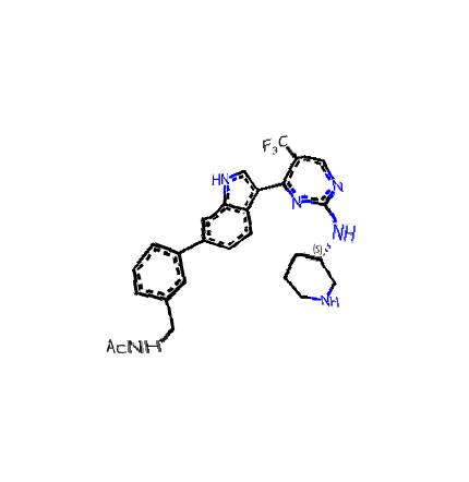 CC(=O)NCc1cccc(-c2ccc3c(-c4nc(N[C@H]5CCCNC5)ncc4C(F)(F)F)c[nH]c3c2)c1